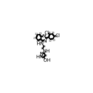 Oc1cc(NCCNc2nc(-c3ccc(Cl)cc3Cl)nc3ccccc23)n[nH]1